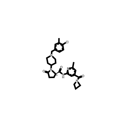 Cc1cc(C(=O)N2CCC2)cc(NC(=O)[C@H]2CCC(=O)N2C2CCN(Cc3ccc(Cl)c(C)c3)CC2)n1